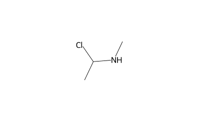 CNC(C)Cl